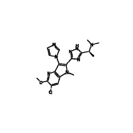 COc1nc2c(-n3ccnc3)c(-c3n[nH]c([C@H](C)N(C)C)n3)n(C)c2cc1Cl